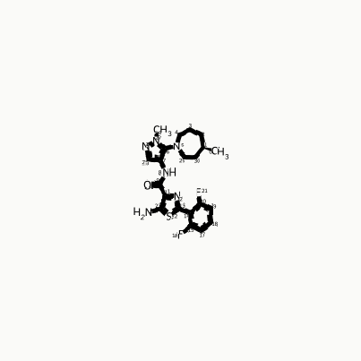 C[C@@H]1CCCN(c2c(NC(=O)c3nc(-c4c(F)cccc4F)sc3N)cnn2C)CC1